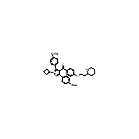 COc1ccc(-c2nn(C3CCC3)c(-c3ccc(OC)cc3)c2C(=O)c2ccc(OCCC3CCCCN3)cc2)cc1